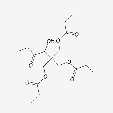 CCC(=O)OCC(COC(=O)CC)(COC(=O)CC)C(O)C(=O)CC